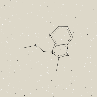 CCCn1c(C)nc2cccnc21